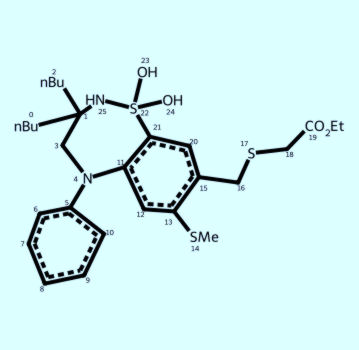 CCCCC1(CCCC)CN(c2ccccc2)c2cc(SC)c(CSCC(=O)OCC)cc2S(O)(O)N1